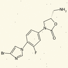 NC[C@H]1CN(c2ccc(-n3cnc(Br)c3)c(F)c2)C(=O)O1